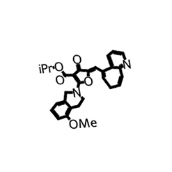 COc1cccc2c1CCN(C1=C(C(=O)OC(C)C)C(=O)/C(=C/C3=CCC=Cc4ncccc43)O1)C2